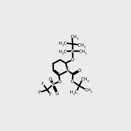 CC(C)(C)OC(=O)N1C(OS(=O)(=O)C(F)(F)F)=CCCC1O[Si](C)(C)C(C)(C)C